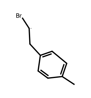 Cc1ccc(C[CH]Br)cc1